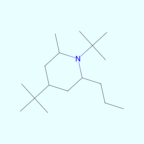 CCCC1CC(C(C)(C)C)CC(C)N1C(C)(C)C